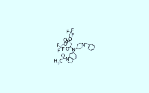 CC(=O)N1CCc2ccc(N(C(=O)CP(=O)(OCC(F)(F)F)OCC(F)(F)F)C3CCN(Cc4ccccc4)CC3)cc21